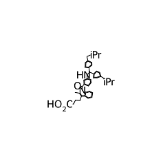 Cc1c(CCCC(=O)O)c2ccccc2n1C(=O)c1cccc(NC(c2ccc(CC(C)C)cc2)c2ccc(CC(C)C)cc2)c1